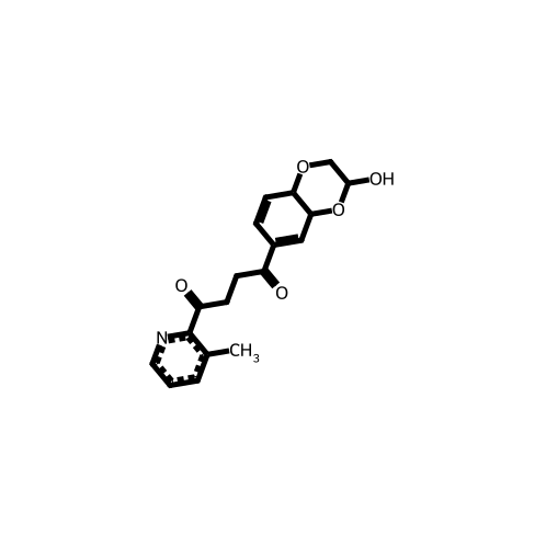 Cc1cccnc1C(=O)CCC(=O)C1=CC2OC(O)COC2C=C1